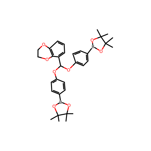 CC1(C)OB(c2ccc(OC(Oc3ccc(B4OC(C)(C)C(C)(C)O4)cc3)c3cccc4c3OCCO4)cc2)OC1(C)C